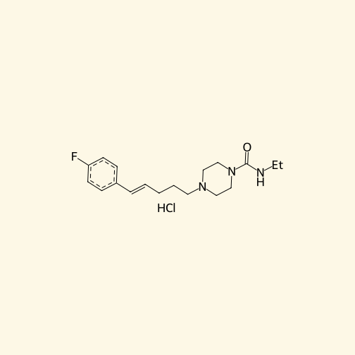 CCNC(=O)N1CCN(CCCC=Cc2ccc(F)cc2)CC1.Cl